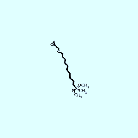 CO[Si](C)(CCCCCCCCCCOCC1CO1)OC